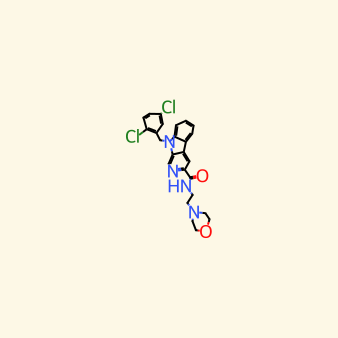 O=C(NCCN1CCOCC1)c1cc2c3ccccc3n(Cc3cc(Cl)ccc3Cl)c2cn1